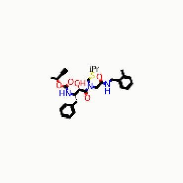 C#CC(C)OC(=O)N[C@@H](Cc1ccccc1)[C@H](O)C(=O)N(CSC(C)C)CC(=O)NCc1ccccc1C